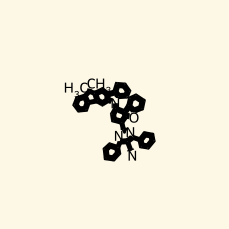 CC1(C)c2ccccc2-c2cc3c(cc21)c1ccccc1n3-c1ccc(-c2nc(-c3ccccc3)c(C#N)c(-c3ccccc3)n2)c2oc3ccccc3c12